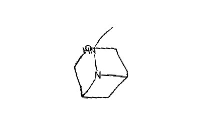 CNN1C2COCC1C2